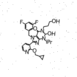 CC(C)N1c2nc(-c3cccnc3OCC3CC3)n(Cc3cc(F)cc(F)c3)c2C(=O)N(CCCO)C1O